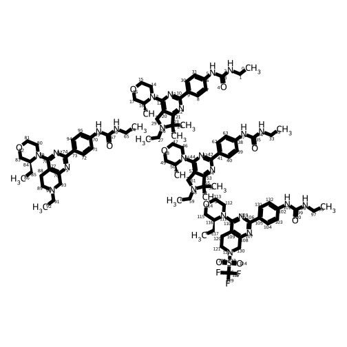 CCNC(=O)Nc1ccc(-c2nc(N3CCOC[C@@H]3C)c3c(n2)C(C)(C)N(CC)C3)cc1.CCNC(=O)Nc1ccc(-c2nc(N3CCOC[C@@H]3C)c3c(n2)C(C)(C)N(CC)C3)cc1.CCNC(=O)Nc1ccc(-c2nc3c(c(N4CCOC[C@@H]4CC)n2)CCN(CC)C3)cc1.CCNC(=O)Nc1ccc(-c2nc3c(c(N4CCOC[C@@H]4CC)n2)CCN(S(=O)(=O)C(F)(F)F)C3)cc1